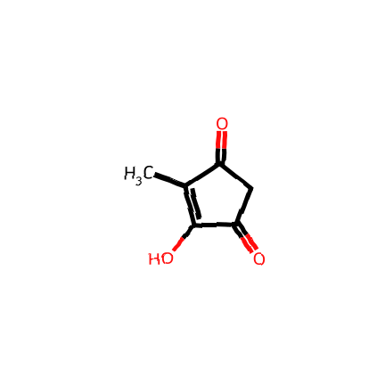 CC1=C(O)C(=O)CC1=O